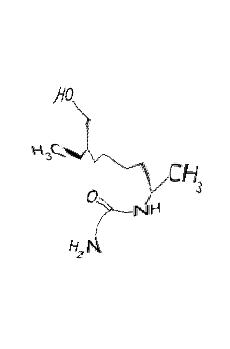 CC(CC[C@@H](C)CO)NC(N)=O